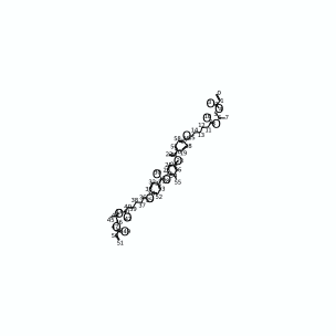 C=CC(=O)OCC(C)OC(=O)CCCCCOc1ccc(C(=C)Oc2ccc(OC(=O)c3ccc(OCCCCCC(=O)OC(C)COC(=O)C=C)cc3)c(C)c2)cc1